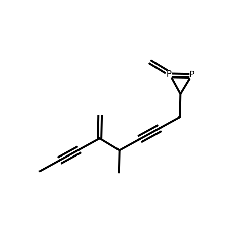 C=C(C#CC)C(C)C#CCC1P=P1=C